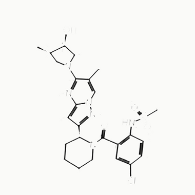 Cc1cn2nc([C@@H]3CCCCN3C(=O)c3cc(Cl)ccc3NS(C)(=O)=O)cc2nc1N1C[C@@H](C)[C@@H](O)C1